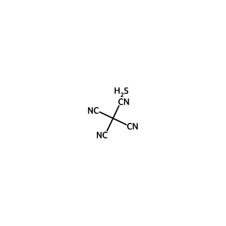 N#CC(C#N)(C#N)C#N.S